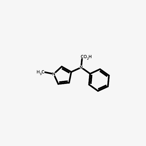 Cn1ccc(N(C(=O)O)c2ccccc2)c1